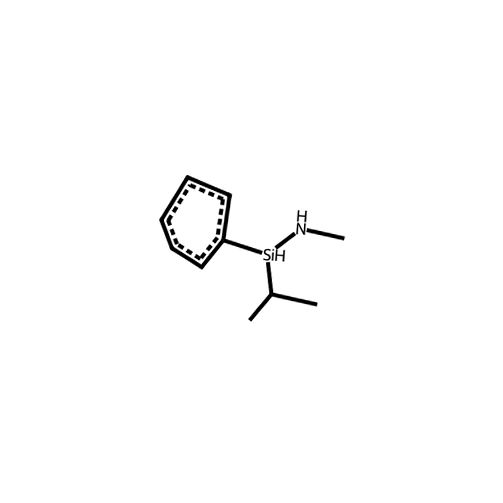 CN[SiH](c1ccccc1)C(C)C